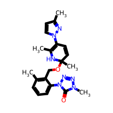 CC1=C(n2ccc(C)n2)C=CC(C)(OCc2c(C)cccc2-n2nnn(C)c2=O)N1